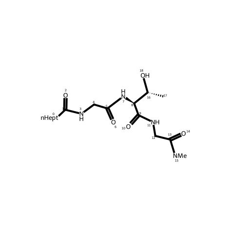 CCCCCCCC(=O)NCC(=O)N[C@H](C(=O)NCC(=O)NC)[C@@H](C)O